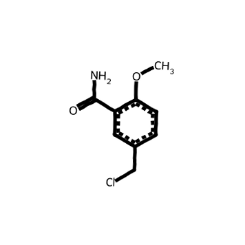 COc1ccc(CCl)cc1C(N)=O